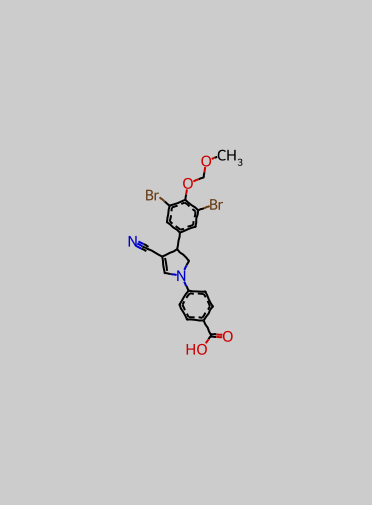 COCOc1c(Br)cc(C2CN(c3ccc(C(=O)O)cc3)C=C2C#N)cc1Br